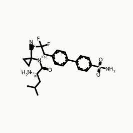 CC(C)C[C@H](N)C(=O)N([C@@H](c1ccc(-c2ccc(S(N)(=O)=O)cc2)cc1)C(F)(F)F)C1(C#N)CC1